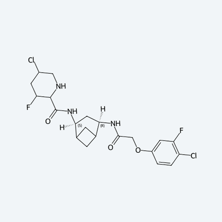 O=C(COc1ccc(Cl)c(F)c1)N[C@@H]1C[C@H](NC(=O)C2NCC(Cl)CC2F)C2CC1C2